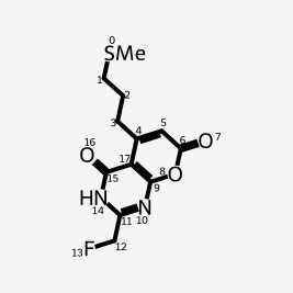 CSCCCc1cc(=O)oc2nc(CF)[nH]c(=O)c12